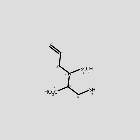 C=CCN(C(CS)C(=O)O)S(=O)(=O)O